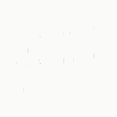 O=C([O-])C(I)I.O=C([O-])C(I)I.O=C([O-])C(I)I.[B+3]